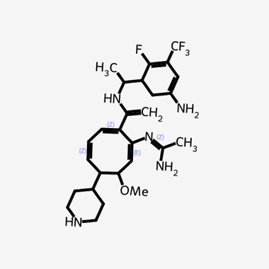 C=C(NC(C)C1CC(N)=CC(C(F)(F)F)=C1F)/C1=C/C=C\C(C2CCNCC2)C(OC)/C=C1/N=C(/C)N